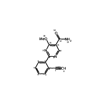 C#Cc1ccccc1-c1ncc(C(N)=O)c(OC)n1